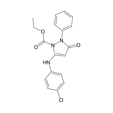 CCOC(=O)n1c(Nc2ccc(Cl)cc2)cc(=O)n1-c1ccccc1